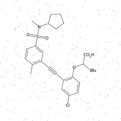 Cc1ccc(S(=O)(=O)N(C)C2CCCC2)cc1C#Cc1cc(Cl)ccc1OC(C(=O)O)C(C)(C)C